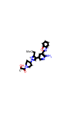 COCc1nn(C2CCN(C(=O)[C@H](C)O)CC2)cc1-c1cnc(N)c(-c2nc3ccccc3o2)c1